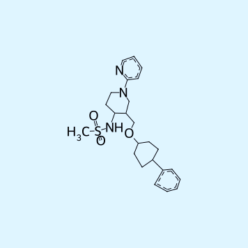 CS(=O)(=O)NC1CCN(c2ccccn2)CC1COC1CCC(c2ccccc2)CC1